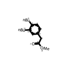 CCCCc1ccc(CC(=O)OC)cc1CCCC